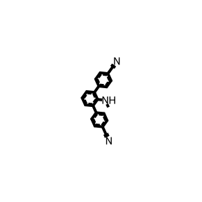 CNc1c(-c2ccc(C#N)cc2)cccc1-c1ccc(C#N)cc1